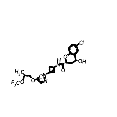 C[C@@H](COc1cnn(C23CC(NC(=O)[C@H]4C[C@@H](O)c5cc(Cl)ccc5O4)(C2)C3)c1)OC(F)(F)F